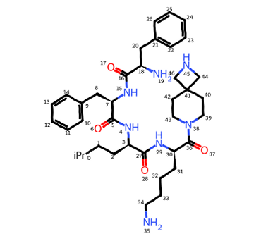 CC(C)CC[C@@H](NC(=O)[C@@H](Cc1ccccc1)NC(=O)[C@H](N)Cc1ccccc1)C(=O)N[C@H](CCCCN)C(=O)N1CCC2(CC1)CNC2